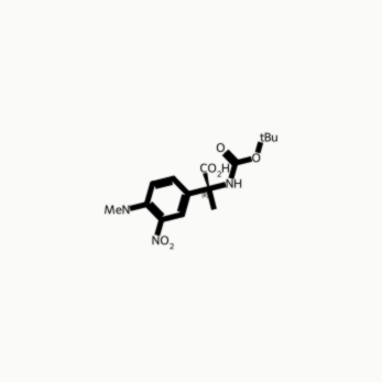 CNc1ccc([C@@](C)(NC(=O)OC(C)(C)C)C(=O)O)cc1[N+](=O)[O-]